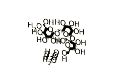 O.O.O.O.O.OC[C@H]1O[C@H](OC[C@H]2O[C@H](O[C@]3(CO)O[C@H](CO)[C@@H](O)[C@@H]3O)[C@H](O)[C@@H](O)[C@@H]2O)[C@H](O)[C@@H](O)[C@H]1O